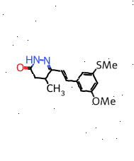 COc1cc(C=CC2=NNC(=O)CC2C)cc(SC)c1